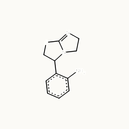 Nc1ccccc1C1CSC2=NCCN21